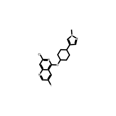 Cn1cc(C2CCC(Oc3nc(Cl)cc4ncc(I)cc34)CC2)cn1